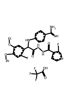 CCOc1cc(C(Nc2ccc(C(=N)N)cc2)C(=O)NNC(=O)c2ccncc2F)c(F)cc1OC(C)C.O=C(O)C(F)(F)F